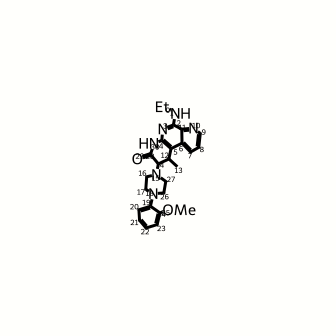 CCNc1nc2c(c3cccnc13)C(C)C(N1CCN(c3ccccc3OC)CC1)C(=O)N2